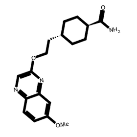 COc1ccc2ncc(OCC[C@H]3CC[C@H](C(N)=O)CC3)nc2c1